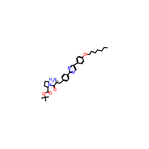 CCCCCCCOc1ccc(-c2cnc(-c3ccc(C[C@H](N)C(=O)N4CCCC4C(=O)OC(C)(C)C)cc3)nc2)cc1